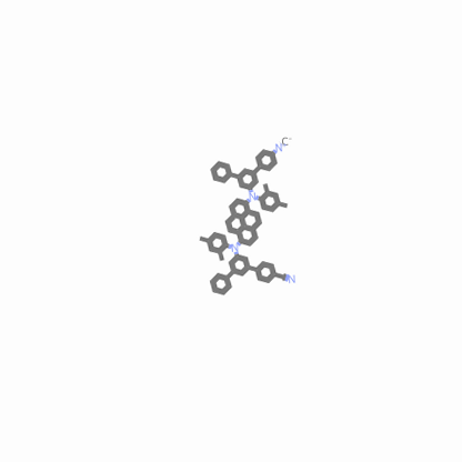 [C-]#[N+]c1ccc(-c2cc(-c3ccccc3)cc(N(c3ccc(C)cc3C)c3ccc4ccc5c(N(c6cc(-c7ccccc7)cc(-c7ccc(C#N)cc7)c6)c6ccc(C)cc6C)ccc6ccc3c4c65)c2)cc1